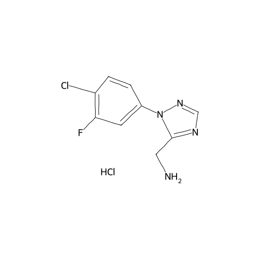 Cl.NCc1ncnn1-c1ccc(Cl)c(F)c1